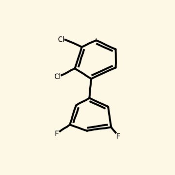 Fc1cc(F)cc(-c2cc[c]c(Cl)c2Cl)c1